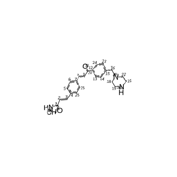 O=C(/C=C/c1ccc(/C=C/C(=O)c2ccc(CN3CCNCC3)cc2)cc1)NO